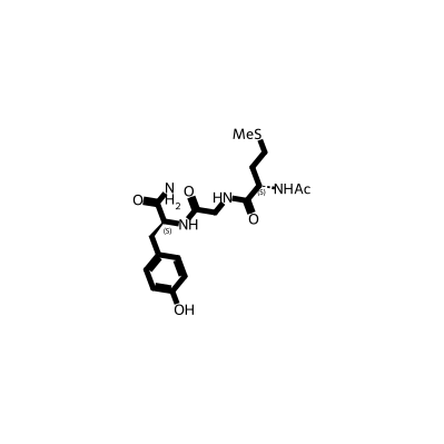 CSCC[C@H](NC(C)=O)C(=O)NCC(=O)N[C@@H](Cc1ccc(O)cc1)C(N)=O